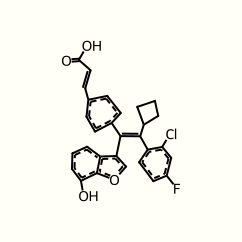 O=C(O)C=Cc1ccc(C(=C(c2ccc(F)cc2Cl)C2CCC2)c2coc3c(O)cccc23)cc1